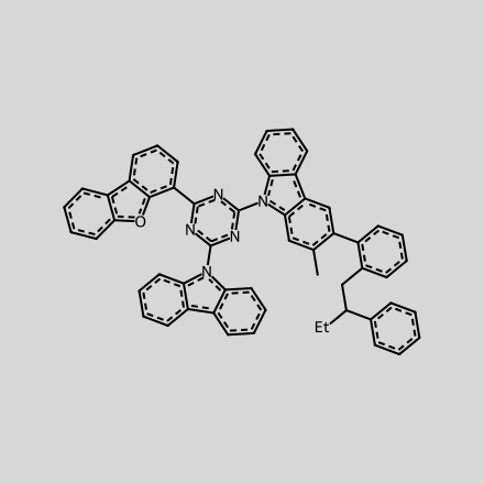 CCC(Cc1ccccc1-c1cc2c3ccccc3n(-c3nc(-c4cccc5c4oc4ccccc45)nc(-n4c5ccccc5c5ccccc54)n3)c2cc1C)c1ccccc1